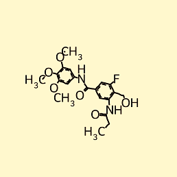 CCC(=O)Nc1cc(C(=O)Nc2cc(OC)c(OC)c(OC)c2)cc(F)c1CO